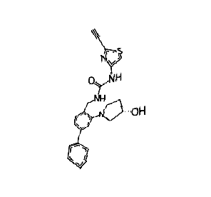 C#Cc1nc(NC(=O)NCc2ccc(-c3ccccc3)cc2N2CC[C@H](O)C2)cs1